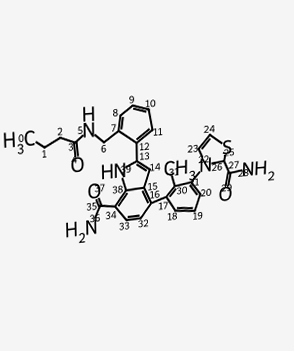 CCCC(=O)NCc1ccccc1-c1cc2c(-c3cccc(N4C=CSC4C(N)=O)c3C)ccc(C(N)=O)c2[nH]1